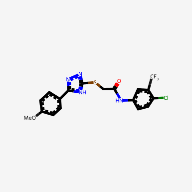 COc1ccc(-c2nnc(SCC(=O)Nc3ccc(Cl)c(C(F)(F)F)c3)[nH]2)cc1